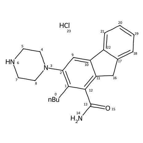 CCCCc1c(N2CCNCC2)cc2c(c1C(N)=O)Cc1ccccc1-2.Cl